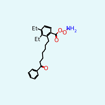 CCc1ccc(C(=O)OON)c(CCCCCCC(=O)c2ccccc2)c1CC